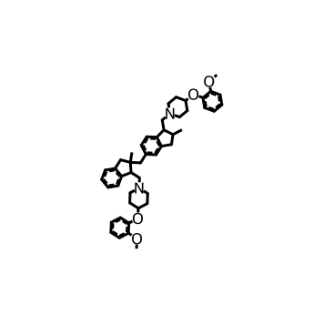 COc1ccccc1OC1CCN(CC2c3ccc(CC4(C)Cc5ccccc5C4CN4CCC(Oc5ccccc5OC)CC4)cc3CC2C)CC1